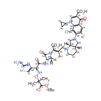 CC(C)(C)OC(=O)C(C)(C)ON=C(C(=O)N[C@@H]1C(=O)N2C(C(=O)O)=C(CN3CCC[C@H]4CN(c5c(F)cc6c(=O)c(C(=O)O)cn(C7CC7)c6c5Cl)C[C@H]43)CS[C@H]12)c1csc(N)n1